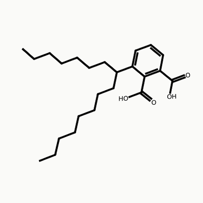 CCCCCCCCC(CCCCCCC)c1cccc(C(=O)O)c1C(=O)O